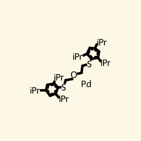 CC(C)c1cc(C(C)C)c(SCCOCCSc2c(C(C)C)cc(C(C)C)cc2C(C)C)c(C(C)C)c1.[Pd]